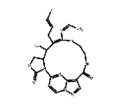 C/C=N\C1=C(/C/C=C/F)C(C)C2COC(=O)N2c2ccn3ncc(c3n2)C(=O)NCCO1